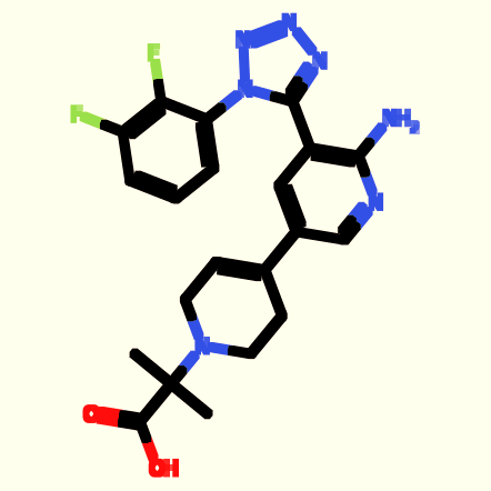 CC(C)(C(=O)O)N1CC=C(c2cnc(N)c(-c3nnnn3-c3cccc(F)c3F)c2)CC1